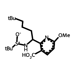 COc1ccc(C(=O)O)c(C(CCCC(C)(C)C)N[S+]([O-])C(C)(C)C)n1